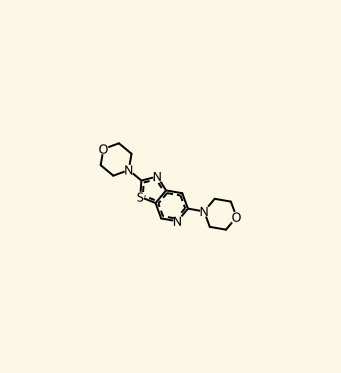 c1c(N2CCOCC2)ncc2sc(N3CCOCC3)nc12